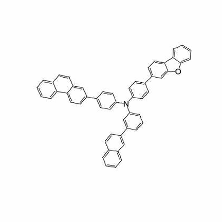 c1cc(-c2ccc3ccccc3c2)cc(N(c2ccc(-c3ccc4c(ccc5ccccc54)c3)cc2)c2ccc(-c3ccc4c(c3)oc3ccccc34)cc2)c1